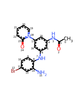 CC(=O)Nc1cc(Nc2ccc(Br)cc2N)cc(-n2ccccc2=O)c1